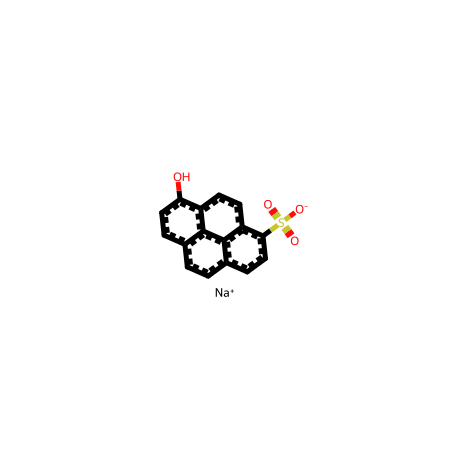 O=S(=O)([O-])c1ccc2ccc3ccc(O)c4ccc1c2c34.[Na+]